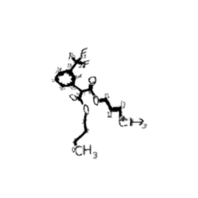 CCCCOC(=O)C(C(=O)OCCCC)c1cccc(C(F)(F)F)c1